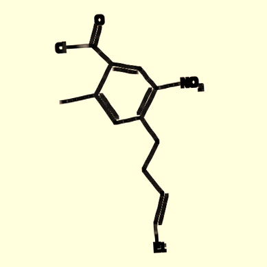 CCC=CCCc1cc(C)c(C(=O)Cl)cc1[N+](=O)[O-]